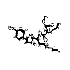 C=CCCC(NC(=O)OC)C(=O)NC(CCOCC=C)c1nc(-c2ccc(Br)cc2)c[nH]1